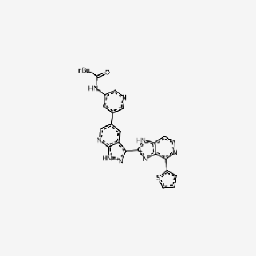 CCCCC(=O)Nc1cncc(-c2cnc3[nH]nc(-c4nc5c(-c6cccs6)nccc5[nH]4)c3c2)c1